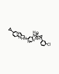 N=S(=O)(Nc1cc(NCc2cn3cc(C4CC4)ccc3n2)ncn1)C1CC1c1cccc(Cl)c1